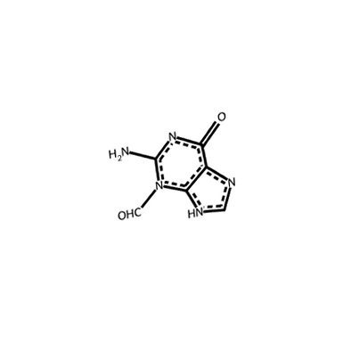 Nc1nc(=O)c2nc[nH]c2n1C=O